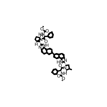 COC(=O)N[C@@H](C(=O)N1[C@@H]2CC[C@@H](C2)[C@H]1c1nc2ccc3cc(-c4ccc5c(ccc6nc([C@@H]7CC(C)[C@@H](C)N7C(=O)[C@H](NC(=O)OC)c7ccccc7)[nH]c65)c4)ccc3c2[nH]1)c1ccccc1